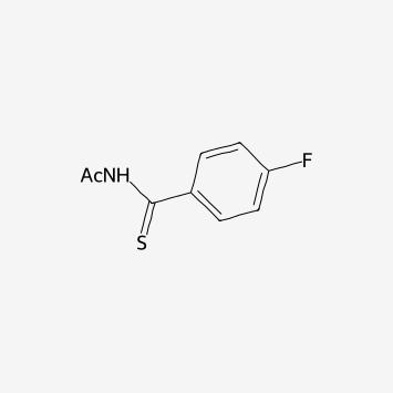 CC(=O)NC(=S)c1ccc(F)cc1